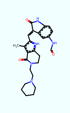 Cc1c(/C=C2/C(=O)Nc3ccc(NC=O)cc32)[nH]c2c1C(=O)N(CCN1CCCCC1)CC2